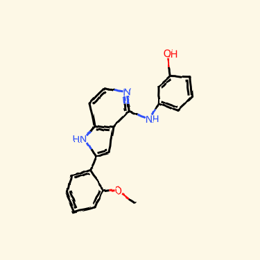 COc1ccccc1-c1cc2c(Nc3cccc(O)c3)nccc2[nH]1